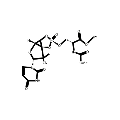 COC(=O)N[C@H](CO[P@]1(=O)OC2[C@H]3O[C@@H](n4ccc(=O)[nH]c4=O)[C@](C)(C#N)[C@@]23O1)C(=O)OC(C)C